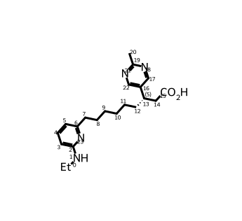 CCNc1cccc(CCCCCC[C@@H](CC(=O)O)c2cnc(C)nc2)n1